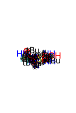 Cc1ncsc1-c1ccc([C@H](C)NC(=O)[C@@H]2C[C@@H](O)CN2C(=O)[C@@H](NC(=O)CCCCCCN2CCC[C@H]2COc2nc(N3C4CCC3CN(C(=O)OC(C)(C)C)C4)c3cc(Cl)c(-c4ccc(F)c5sc(NC(=O)OC(C)(C)C)nc45)c(F)c3n2)C(C)(C)C)cc1